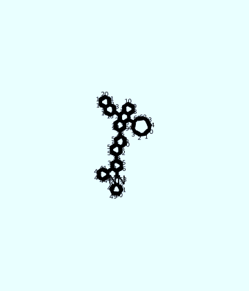 c1ccccc(-c2c3ccccc3c(-c3ccc4ccccc4c3)c3ccc(-c4ccc5cc(-c6ccc7c(c6)c6ccccc6n6c8ccccc8nc76)ccc5c4)cc23)cccc1